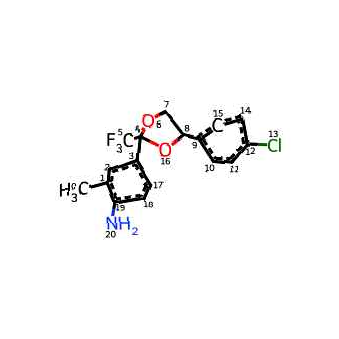 Cc1cc(C2(C(F)(F)F)OCC(c3ccc(Cl)cc3)O2)ccc1N